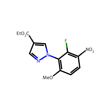 CCOC(=O)c1cnn(-c2c(OC)ccc([N+](=O)[O-])c2F)c1